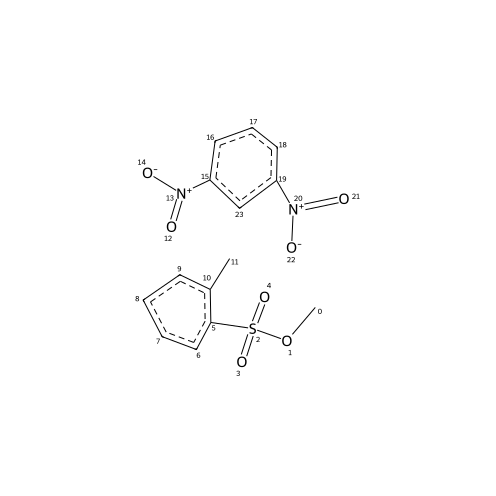 COS(=O)(=O)c1ccccc1C.O=[N+]([O-])c1cccc([N+](=O)[O-])c1